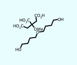 COC(CC(=O)O)(CC(=O)O)C(=O)O.OCCCCOCCCCO